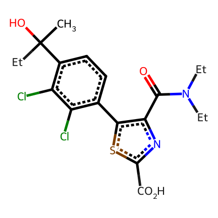 CCN(CC)C(=O)c1nc(C(=O)O)sc1-c1ccc(C(C)(O)CC)c(Cl)c1Cl